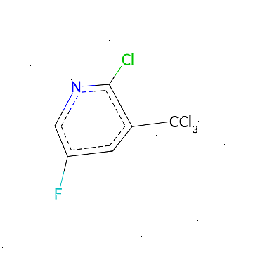 Fc1cnc(Cl)c(C(Cl)(Cl)Cl)c1